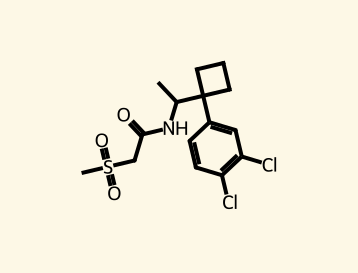 CC(NC(=O)CS(C)(=O)=O)C1(c2ccc(Cl)c(Cl)c2)CCC1